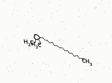 C=Cc1cccc(CCCCCCCCCCCCCCCCCC)c1C=C